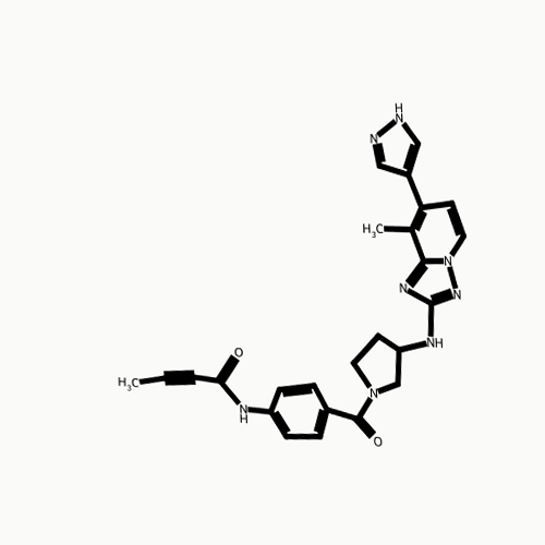 CC#CC(=O)Nc1ccc(C(=O)N2CCC(Nc3nc4c(C)c(-c5cn[nH]c5)ccn4n3)C2)cc1